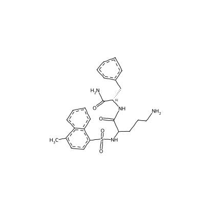 Cc1ccc(S(=O)(=O)NC(CCCN)C(=O)N[C@@H](Cc2ccccc2)C(N)=O)c2ccccc12